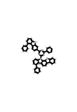 c1ccc(-c2nc(-c3ccc4c(c3)sc3cccc(-c5ccccc5)c34)nc(-n3c4cccc(-c5ccccc5)c4c4ccc5c6ccccc6oc5c43)n2)cc1